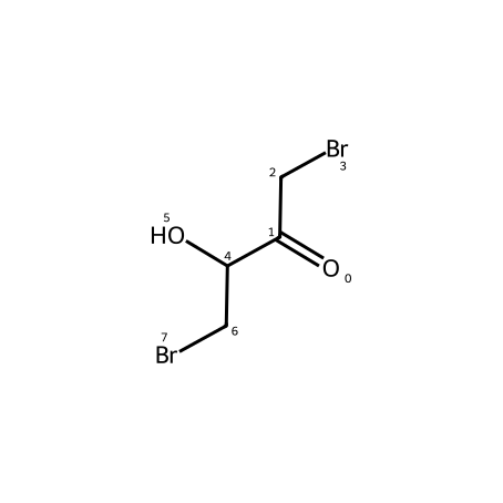 O=C(CBr)C(O)CBr